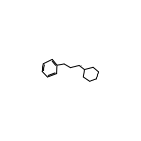 [CH](CCc1ccccc1)C1CCCCC1